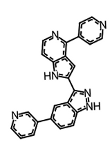 c1cncc(-c2ccc3[nH]nc(-c4cc5c(-c6ccncc6)nccc5[nH]4)c3c2)c1